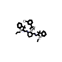 CCCN1/C(=C/C=C2\CCCC(/C=C/C3=[N+](CCC)c4ccccc4C3(C)C)=C2n2cc(-c3cccc(Cl)c3)nn2)C(C)(C)c2ccccc21